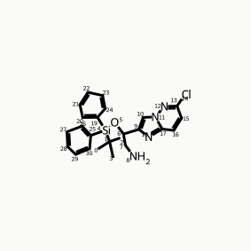 CC(C)(C)[Si](OC(CN)c1cn2nc(Cl)ccc2n1)(c1ccccc1)c1ccccc1